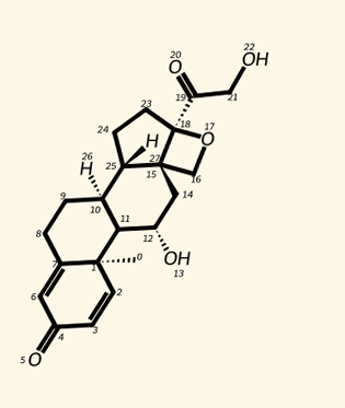 C[C@]12C=CC(=O)C=C1CC[C@@H]1C2[C@@H](O)C[C@]23CO[C@]2(C(=O)CO)CC[C@@H]13